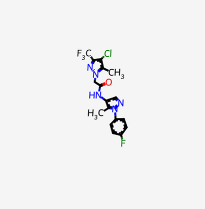 Cc1c(Cl)c(C(F)(F)F)nn1CC(=O)Nc1cnn(-c2ccc(F)cc2)c1C